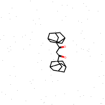 O=C(CC(=O)C12CC3CC(CC(C3)C1)C2)C12CC3CC(CC(C3)C1)C2